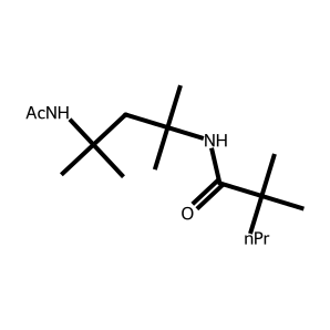 CCCC(C)(C)C(=O)NC(C)(C)CC(C)(C)NC(C)=O